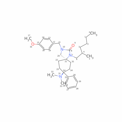 CCCCC(C)CN1C(=O)N(Cc2ccc(OC)cc2)C[C@]12CC[C@](c1ccccc1)(N(C)C)CC2